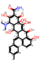 Cc1ccc(/C=C2\c3cccc(O)c3C(=O)C3=C(O)C4(O)C(=O)C(C(N)=O)=C(O)C(N(C)C)C4C(O)C32)cc1